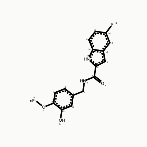 CCCOc1ccc(CNC(=O)c2cc3cc(F)ccc3[nH]2)cc1O